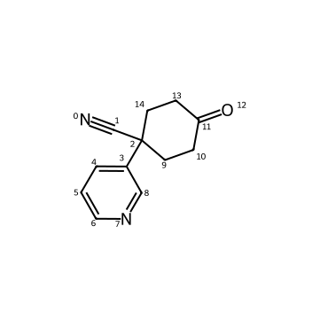 N#CC1(c2cccnc2)CCC(=O)CC1